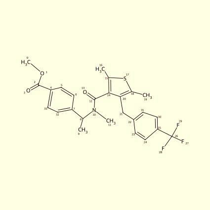 COC(=O)c1ccc(C(C)N(C)C(=O)c2c(C)sc(C)c2Cc2ccc(C(F)(F)F)cc2)cc1